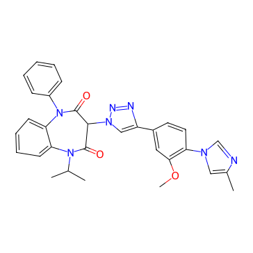 COc1cc(-c2cn(C3C(=O)N(c4ccccc4)c4ccccc4N(C(C)C)C3=O)nn2)ccc1-n1cnc(C)c1